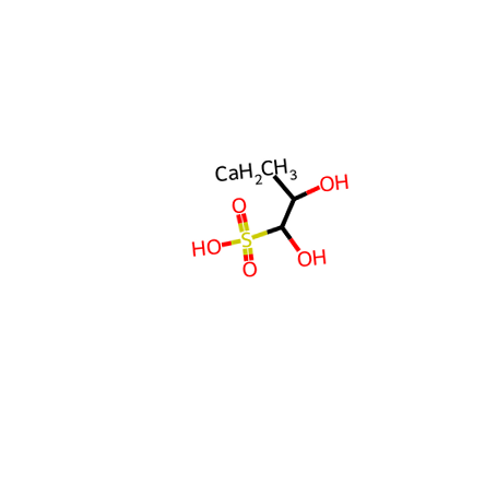 CC(O)C(O)S(=O)(=O)O.[CaH2]